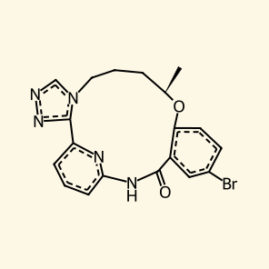 C[C@@H]1CCCn2cnnc2-c2cccc(n2)NC(=O)c2cc(Br)ccc2O1